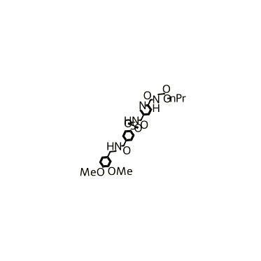 CCCOC(=O)CNC(=O)c1ccc(C(=O)NS(=O)(=O)c2ccc(C(=O)NCCc3ccc(OC)c(OC)c3)cc2)cn1